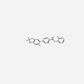 Cc1ccccc1CNc1ccc(-c2cc3c(cc2C)OC(C)(C)C3)cn1